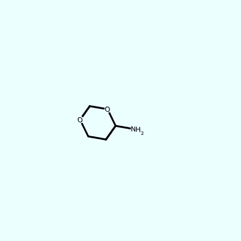 NC1CCOCO1